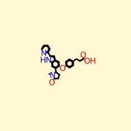 CN1C(=O)CCC1c1cc2[nH]c(-c3ccccn3)cc2cc1Oc1ccc(CCC(=O)O)cc1